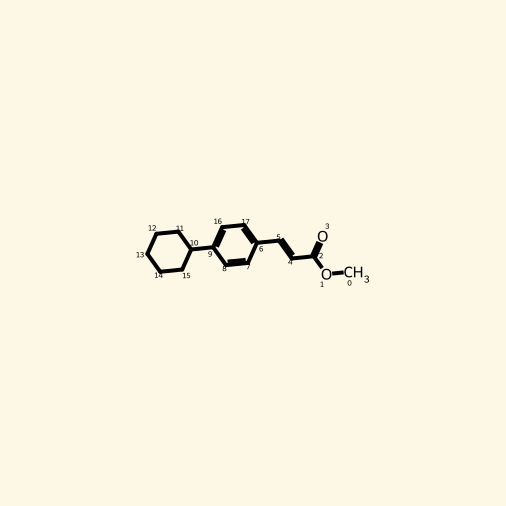 COC(=O)C=Cc1ccc(C2CCCCC2)cc1